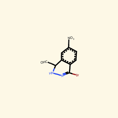 O=CC1NN=C(Br)c2ccc([N+](=O)[O-])cc21